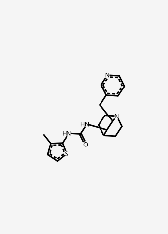 Cc1ccsc1NC(=O)NC1C2CCN(CC2)C1Cc1cccnc1